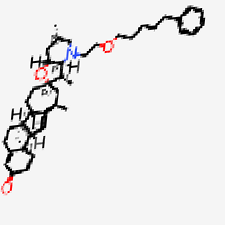 CC1=C2C[C@H]3[C@@H](CCC4=CC(=O)CC[C@@]43C)[C@@H]2CC[C@@]2(C1)O[C@@H]1C[C@H](C)CN(CCOCCCCCc3ccccc3)[C@H]1[C@H]2C